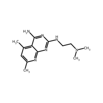 Cc1cc(C)c2c(N)nc(NCCN(C)C)nc2n1